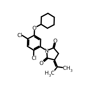 CC(C)=C1CC(=O)N(c2cc(OC3CCCCC3)c(Cl)cc2Cl)C1=O